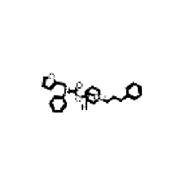 O=C(O[C@H]1C[N+]2(CCCc3ccccc3)CCC1CC2)N(Cc1ccco1)c1ccccc1